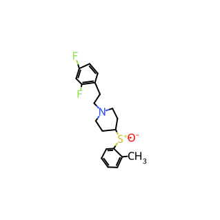 Cc1ccccc1[S+]([O-])C1CCN(CCc2ccc(F)cc2F)CC1